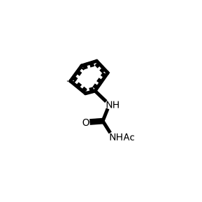 CC(=O)NC(=O)Nc1c[c]ccc1